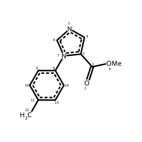 COC(=O)c1cncn1-c1ccc(C)cc1